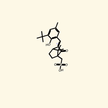 Cc1cc(/C=C2/C(=O)C3(CS(=O)(=O)O)CCC2C3(C)C)c(O)c(C(C)(C)C)c1